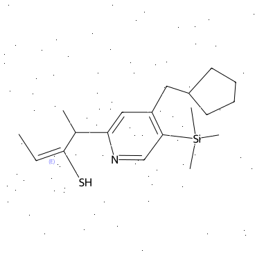 C/C=C(/S)C(C)c1cc(CC2CCCC2)c([Si](C)(C)C)cn1